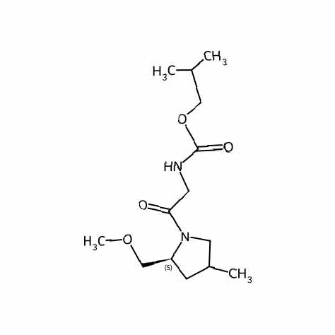 COC[C@@H]1CC(C)CN1C(=O)CNC(=O)OCC(C)C